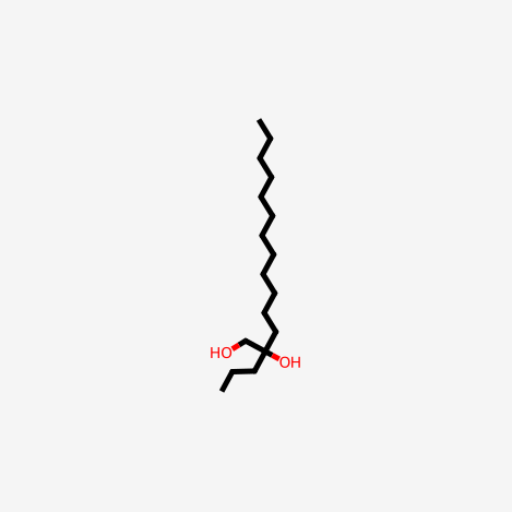 CCCCCCCCCCCCC(O)(CO)CCC